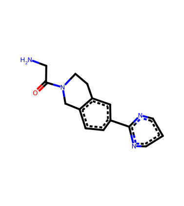 NCC(=O)N1CCc2cc(-c3ncccn3)ccc2C1